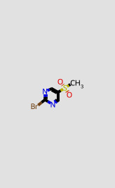 CS(=O)(=O)c1cnc(Br)nc1